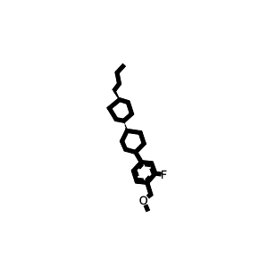 CCCC[C@H]1CC[C@H](C2CCC(c3ccc(COC)c(F)c3)CC2)CC1